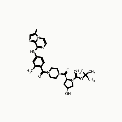 Cc1cc(Nc2nccn3c(I)cnc23)ccc1C(=O)N1CCN(C(=O)[C@@H]2C[C@@H](O)CN2C(=O)OC(C)(C)C)CC1